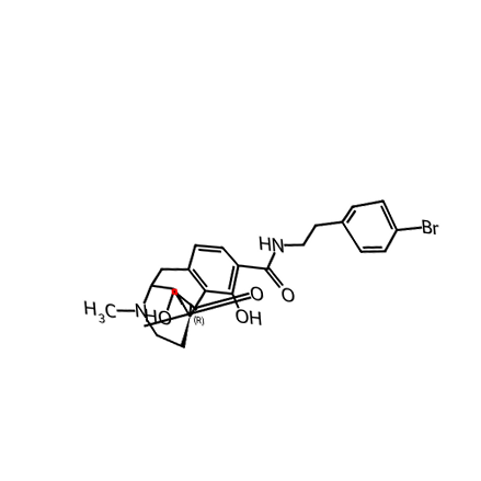 CN1CC[C@]23CC(=O)CCC2(O)C1Cc1ccc(C(=O)NCCc2ccc(Br)cc2)c(O)c13